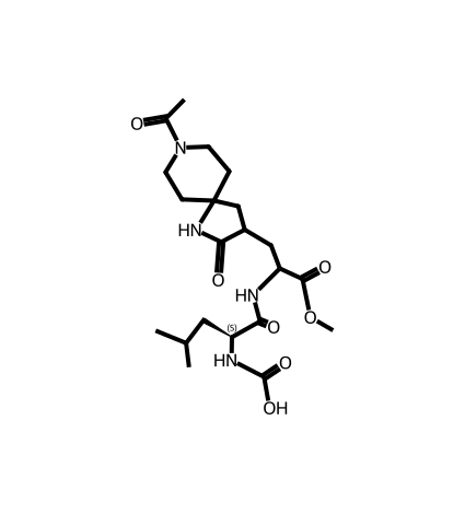 COC(=O)C(CC1CC2(CCN(C(C)=O)CC2)NC1=O)NC(=O)[C@H](CC(C)C)NC(=O)O